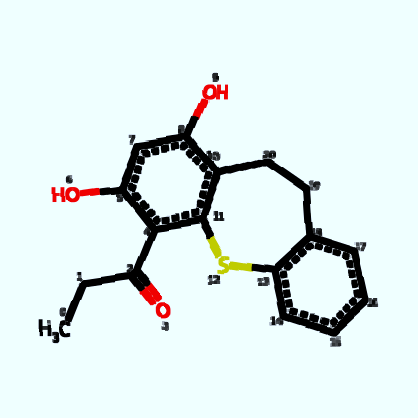 CCC(=O)c1c(O)cc(O)c2c1Sc1ccccc1CC2